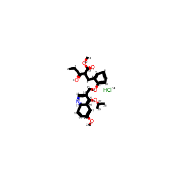 CCC(=O)C(Cc1ccccc1OCc1cnc2ccc(OC)cc2c1OC(C)C)C(=O)OC.Cl